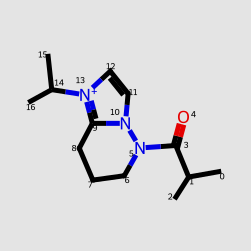 CC(C)C(=O)N1CCCc2n1cc[n+]2C(C)C